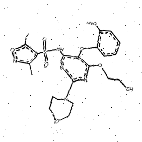 COc1ccccc1Oc1c(NS(=O)(=O)c2c(C)noc2C)nc(N2CCOCC2)nc1OCCO